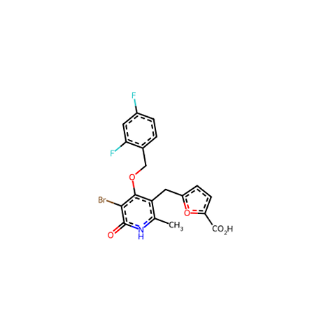 Cc1[nH]c(=O)c(Br)c(OCc2ccc(F)cc2F)c1Cc1ccc(C(=O)O)o1